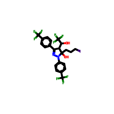 OC(C1C(c2ccc(C(F)(F)F)cc2)=NN(c2ccc(C(F)(F)F)cc2)C1(O)CCCI)C(F)(F)F